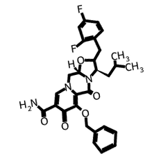 CC(C)C[C@@H]1C(Cc2ccc(F)cc2F)O[C@H]2Cn3cc(C(N)=O)c(=O)c(OCc4ccccc4)c3C(=O)N21